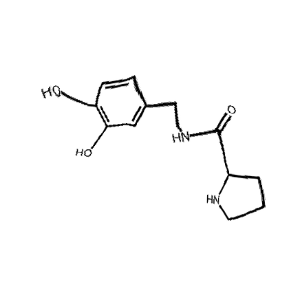 O=C(NCc1ccc(O)c(O)c1)C1CCCN1